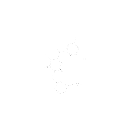 COc1cccc(Cn2c(=O)[nH]c(C(=O)c3cc(C)cc(C)c3)c(C(C)C)c2=O)c1